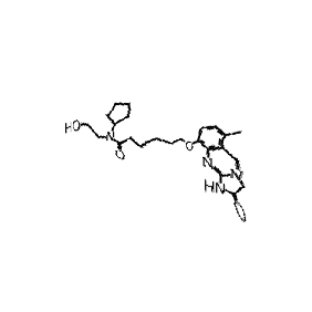 Cc1ccc(OCCCCCC(=O)N(CCO)C2CCCC2)c2c1CN1CC(=O)NC1=N2